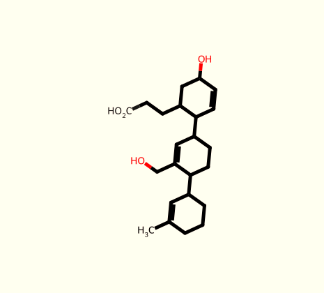 CC1=CC(C2CCC(C3C=CC(O)CC3CCC(=O)O)C=C2CO)CCC1